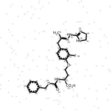 CC(Cc1ccc(OCC[C@H](NC(=O)OCc2ccccc2)C(=O)O)c(F)c1)=NNC1=NCCN1